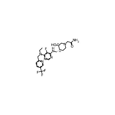 CCN(Cc1ccc(C(F)(F)F)cn1)c1ncnc(NC[C@H]2CCN(CC(N)=O)C[C@@H]2O)c1F